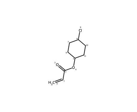 C=CC(=O)OC1CCC(Cl)CC1